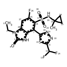 CCn1c(=O)[nH]c2c(-c3nnc(C(F)F)s3)c(S(=O)(=O)NC3(C)CC3)c(F)cc21